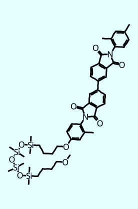 COCCCC[Si](C)(C)O[Si](C)(C)O[Si](C)(C)O[Si](C)(C)CCCCOc1ccc(N2C(=O)c3ccc(-c4ccc5c(c4)C(=O)N(c4ccc(C)cc4C)C5=O)cc3C2=O)c(C)c1